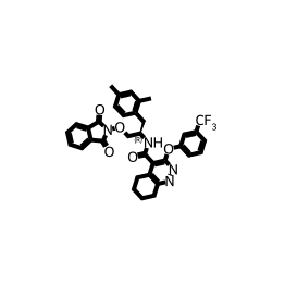 Cc1ccc(C[C@H](CON2C(=O)c3ccccc3C2=O)NC(=O)c2c(Oc3cccc(C(F)(F)F)c3)nnc3c2CCCC3)c(C)c1